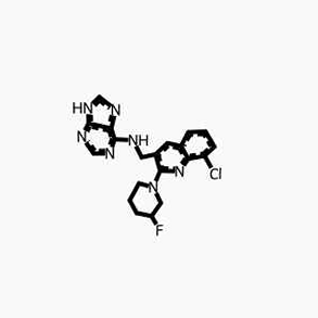 FC1CCCN(c2nc3c(Cl)cccc3cc2CNc2ncnc3[nH]cnc23)C1